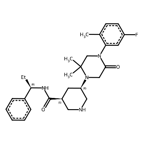 CC[C@@H](NC(=O)[C@@H]1CNC[C@H](N2CC(=O)N(c3cc(F)ccc3C)CC2(C)C)C1)c1ccccc1